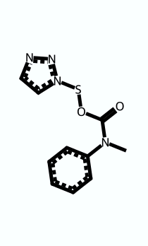 CN(C(=O)OSn1ccnn1)c1ccccc1